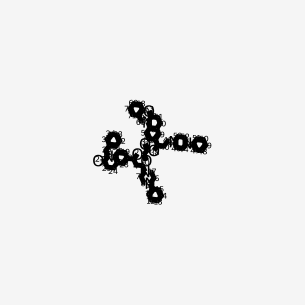 O=C(OC(CCN1CCN(c2ccccc2)CC1)c1ccc2c(c1)CCC(=O)N2Cc1ccccc1)C(=O)OC(CCN1CCN(c2ccccc2)CC1)c1ccc2c(c1)CCC(=O)N2Cc1ccccc1